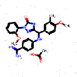 CC(=O)O.COc1ccc(C(Nc2ccc(C(=N)N)cc2)c2nn(-c3ccccc3OC)c(=O)[nH]2)cc1C